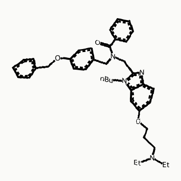 CCCCn1c(CN(Cc2ccc(OCc3ccccc3)cc2)C(=O)c2ccccc2)nc2ccc(OCCCN(CC)CC)cc21